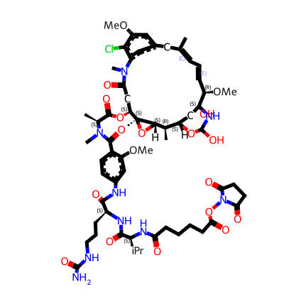 COc1cc(NC(=O)[C@H](CCCNC(N)=O)NC(=O)[C@@H](NC(=O)CCCCC(=O)ON2C(=O)CCC2=O)C(C)C)ccc1C(=O)N(C)[C@@H](C)C(=O)O[C@H]1CC(=O)N(C)c2cc(cc(OC)c2Cl)C/C(C)=C/C=C/[C@@H](OC)[C@@]2(O)C[C@H](OC(O)N2)[C@@H](C)[C@@H]2O[C@@]12C